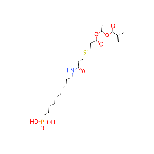 C=C(OC(=O)CCSCCC(=O)NCCCCCCCCCCP(=O)(O)O)OC(=O)C(=C)C